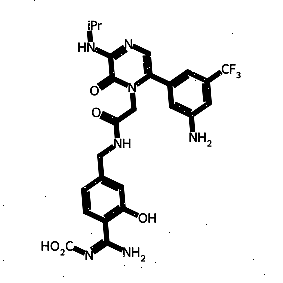 CC(C)Nc1ncc(-c2cc(N)cc(C(F)(F)F)c2)n(CC(=O)NCc2ccc(/C(N)=N\C(=O)O)c(O)c2)c1=O